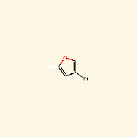 C[CH]c1coc(C)c1